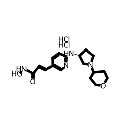 Cl.Cl.O=C(/C=C/c1ccc(N[C@@H]2CCN(C3CCOCC3)C2)nc1)NO